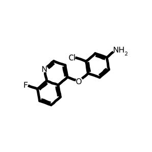 Nc1ccc(Oc2ccnc3c(F)cccc23)c(Cl)c1